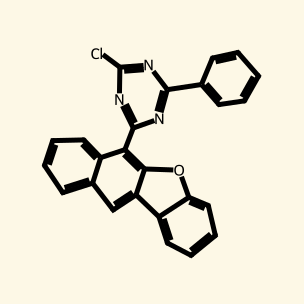 Clc1nc(-c2ccccc2)nc(-c2c3ccccc3cc3c2oc2ccccc23)n1